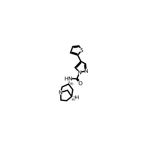 O=C(N[C@@H]1C[C@H]2CCN(C2)C1)n1cc(-c2cccs2)cn1